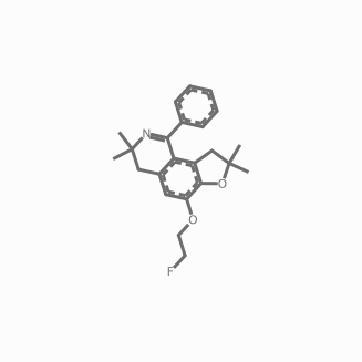 CC1(C)Cc2cc(OCCF)c3c(c2C(c2ccccc2)=N1)CC(C)(C)O3